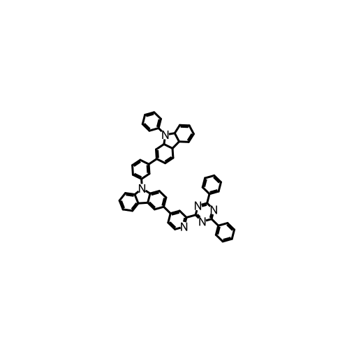 C1=CC2C3C=CC(c4cccc(-n5c6ccccc6c6cc(-c7ccnc(-c8nc(-c9ccccc9)nc(-c9ccccc9)n8)c7)ccc65)c4)=CC3N(c3ccccc3)C2C=C1